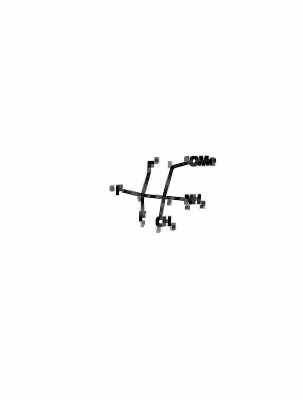 COCC(C)(N)C(F)(F)F